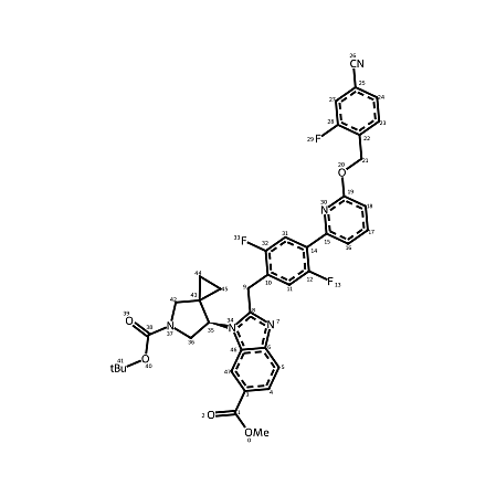 COC(=O)c1ccc2nc(Cc3cc(F)c(-c4cccc(OCc5ccc(C#N)cc5F)n4)cc3F)n([C@H]3CN(C(=O)OC(C)(C)C)CC34CC4)c2c1